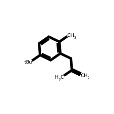 C=C(C)Cc1cc(C(C)(C)C)ccc1C